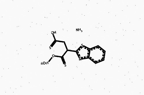 CCCCCCCCOC(=S)C(CC(O)=S)c1nc2ccccc2s1.N